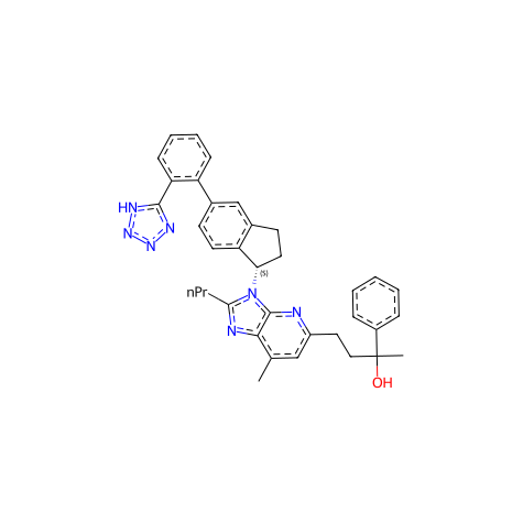 CCCc1nc2c(C)cc(CCC(C)(O)c3ccccc3)nc2n1[C@H]1CCc2cc(-c3ccccc3-c3nnn[nH]3)ccc21